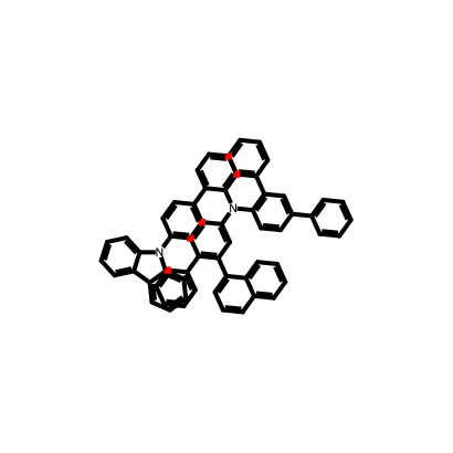 c1ccc(-c2ccc(N(c3ccc(-c4ccccc4)c(-c4cccc5ccccc45)c3)c3ccccc3-c3ccc(-n4c5ccccc5c5ccccc54)cc3)c(-c3ccccc3)c2)cc1